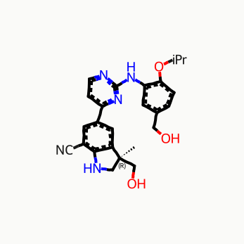 CC(C)Oc1ccc(CO)cc1Nc1nccc(-c2cc(C#N)c3c(c2)[C@@](C)(CO)CN3)n1